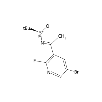 CC(=N[S@+]([O-])C(C)(C)C)c1cc(Br)cnc1F